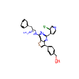 N[C@H](CNc1nc(-c2ccncc2F)nc2c(-c3ccc(CO)cc3)csc12)Cc1ccccc1